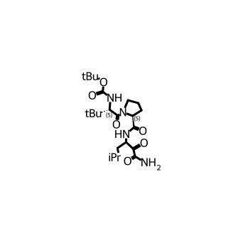 CC(C)CC(NC(=O)[C@@H]1CCCN1C(=O)[C@@H](NC(=O)OC(C)(C)C)C(C)(C)C)C(=O)C(N)=O